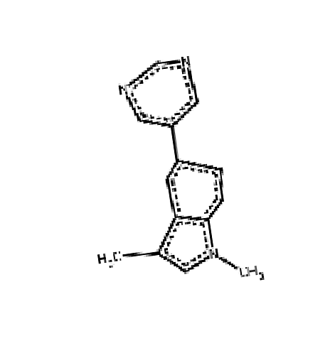 Cc1cn(C)c2ccc(-c3cncnc3)cc12